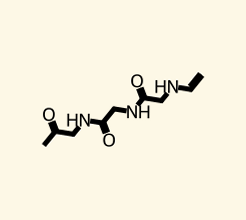 C=CNCC(=O)NCC(=O)NCC(C)=O